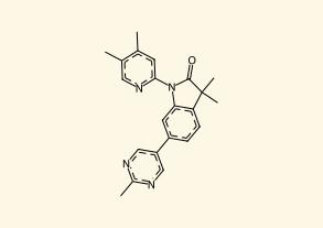 Cc1ncc(-c2ccc3c(c2)N(c2cc(C)c(C)cn2)C(=O)C3(C)C)cn1